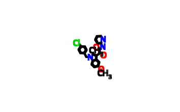 COc1ccc2c(c1)c(C(=O)c1nc3ncccc3o1)c(C)n2Cc1ccc(Cl)cc1